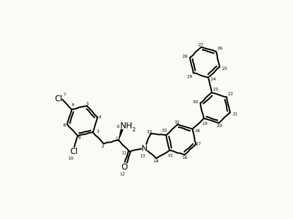 N[C@H](Cc1ccc(Cl)cc1Cl)C(=O)N1Cc2ccc(-c3cccc(-c4ccccc4)c3)cc2C1